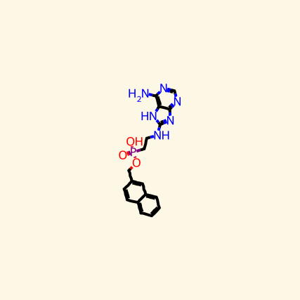 Nc1ncnc2nc(NCCP(=O)(O)OCc3ccc4ccccc4c3)[nH]c12